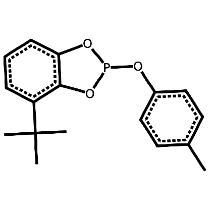 Cc1ccc(OP2Oc3cccc(C(C)(C)C)c3O2)cc1